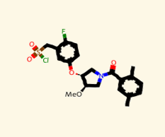 CO[C@@H]1CN(C(=O)c2cc(C)ccc2C)C[C@H]1Oc1ccc(F)c(CS(=O)(=O)Cl)c1